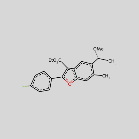 CCOC(=O)c1c(-c2ccc(F)cc2)oc2cc(C)c([C@@H](C)OC)cc12